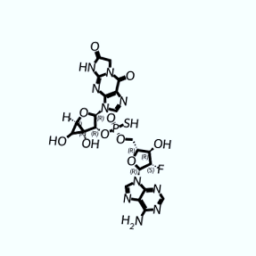 Nc1ncnc2c1ncn2[C@@H]1O[C@H](COP(=O)(S)O[C@H]2[C@H](n3cnc4c(=O)n5c(nc43)NC(=O)C5)O[C@@H]3C(O)[C@@]32O)[C@@H](O)[C@@H]1F